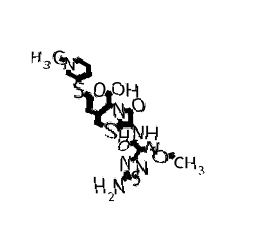 CCON=C(C(=O)NC1C(=O)N2C(C(=O)O)=C(C=CSC3=CCCN(C)C3)CS[C@@H]12)c1nsc(N)n1